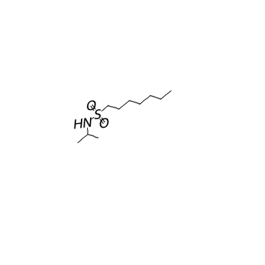 CCCCCCCS(=O)(=O)NC(C)C